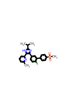 Cc1cccc(-c2[nH]c(C(C)C)nc2-c2ccc(F)c(-c3ccc(S(C)(=O)=O)cc3)c2)n1